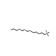 [CH2]CCCCCCCCCCCC[Si](C)(C)C